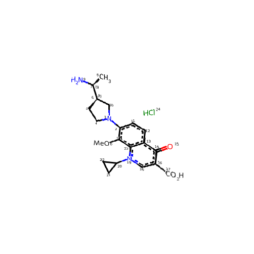 COc1c(N2CC[C@@H]([C@H](C)N)C2)ccc2c(=O)c(C(=O)O)cn(C3CC3)c12.Cl